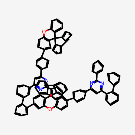 c1ccc(-c2nc(-c3ccc(-c4ccc5c(c4)C4(c6ccccc6O5)c5ccccc5-c5ccccc54)cc3)cc(-c3cccc(-c4ccccc4-c4ccc5c(c4)Oc4ccc(-c6ccc(-c7cc(-c8ccccc8-c8ccccc8)nc(-c8ccccc8)n7)cc6)cc4C54c5ccccc5-c5ccccc54)c3)n2)cc1